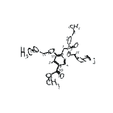 CCOP(=O)(Cc1ccc(C(=O)OC)cc1OCOC)OCC